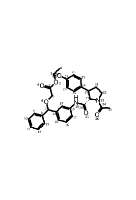 CCOC(=O)COC(c1ccccc1)c1cccc(NC(=O)[C@@H]2C(c3ccc(O)cc3)CCN2C(C)=O)c1